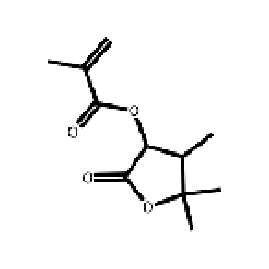 C=C(C)C(=O)OC1C(=O)OC(C)(C)C1C